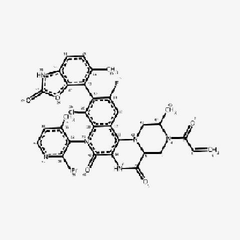 C=CC(=O)N1CC2C(=O)Nc3c(c4cc(F)c(-c5c(C)ccc6[nH]c(=O)oc56)c(Cl)c4n(-c4c(C)ccnc4C(C)C)c3=O)N2CC1C